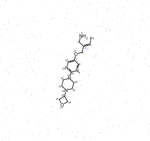 NC/C(=C\F)COc1cnc(N2CCN(C3COC3)CC2)nc1